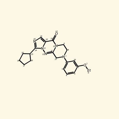 CCOc1cccc(N2CCn3c(nn4c(C5CCCC5)ncc4c3=O)C2)c1